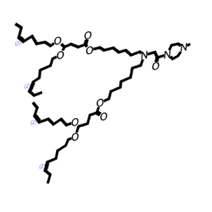 CC/C=C\CCCCOC(CCC(=O)OCCCCCCCN(CCCCCCCOC(=O)CCC(OCCCC/C=C\CC)OCCCC/C=C\CC)CC(=O)N1CCN(C)CC1)OCCCC/C=C\CC